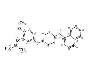 COc1ccc(CN2CCC(Nc3ccnc4ccccc34)CC2)cc1OC(C)C